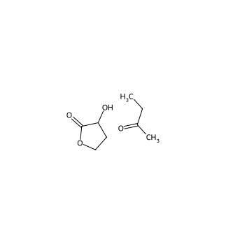 CCC(C)=O.O=C1OCCC1O